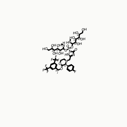 CNC(OP(=O)(OC(NC)[C@H](O)[C@@H](O)[C@H](O)[C@H](O)CO)n1[nH]c(CN2CCO[C@H](O[C@H](C)c3cc(C(F)(F)F)cc(C(F)(F)F)c3)[C@@H]2c2ccc(F)cc2)nc1=O)[C@H](O)[C@@H](O)[C@H](O)[C@H](O)CO